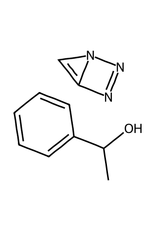 CC(O)c1ccccc1.c1c2nnn1-2